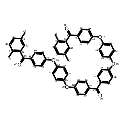 Cc1ccc(C)c(C(=O)c2ccc(Oc3ccc(Oc4ccc(C(=O)c5ccc(Oc6ccc(Oc7ccc(C(=O)c8cc(C)ccc8C)cc7)cc6)cc5)cc4)cc3)cc2)c1